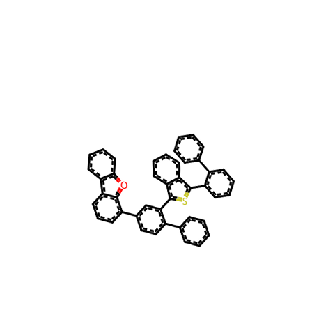 c1ccc(-c2ccccc2-c2sc(-c3cc(-c4cccc5c4oc4ccccc45)ccc3-c3ccccc3)c3ccccc23)cc1